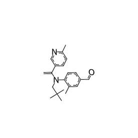 C=C(c1ccc(C)nc1)N(CC(C)(C)C)c1ccc(C=O)cc1C